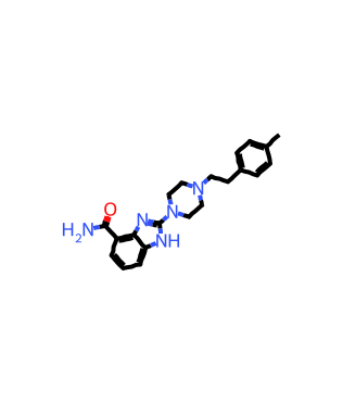 Cc1ccc(CCN2CCN(c3nc4c(C(N)=O)cccc4[nH]3)CC2)cc1